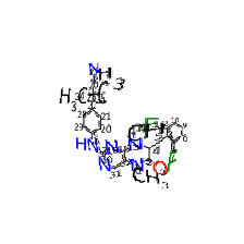 CN1C(=O)C(c2c(F)cccc2F)N(C)c2nc(Nc3ccc(C(C)(C)C#N)cc3)ncc21